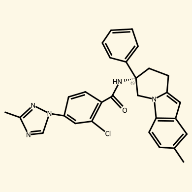 Cc1ccc2c(c1)cc1n2C[C@@](NC(=O)c2ccc(-n3cnc(C)n3)cc2Cl)(c2ccccc2)CC1